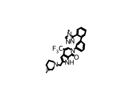 C[C@H]1CCCN(Cc2cc3c(C(F)(F)F)cn(-c4cccc(-c5ccccc5-c5nncn5C)c4)c(=O)c3[nH]2)C1